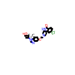 CC1(O)CC(n2cnc3cc(OCCN4CCC5(CC4)NC(=O)c4ccc(Cl)cc45)cc(C(F)(F)F)c32)C1